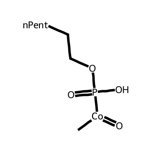 CCCCCCCO[P](=O)(O)[Co]([CH3])=[O]